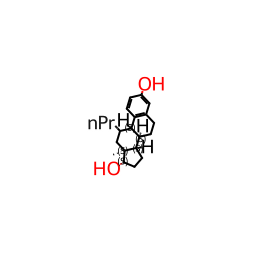 CCCC1C[C@]2(C)[C@@H](O)CC[C@H]2[C@@H]2CCc3cc(O)ccc3[C@@H]12